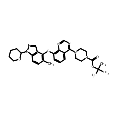 Cc1ccc2c(cnn2C2CCCCO2)c1Oc1cccc2c(N3CCN(C(=O)OC(C)(C)C)CC3)ncnc12